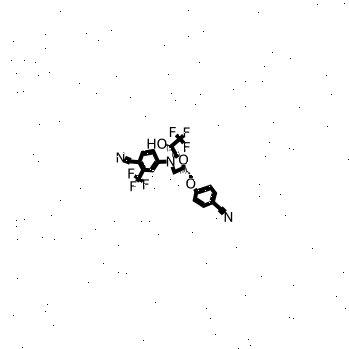 N#Cc1ccc(OC[C@@H]2CN(c3ccc(C#N)c(C(F)(F)F)c3)[C@@H]([C@H](O)C(F)(F)F)O2)cc1